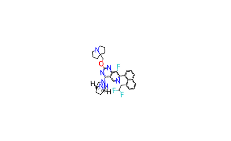 Fc1c(-c2cccc3cccc(CC(F)F)c23)ncc2c(N3C[C@H]4CC[C@@H](C3)N4)nc(OCC34CCCN3CCC4)nc12